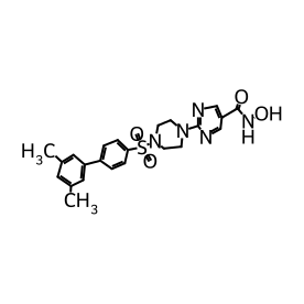 Cc1cc(C)cc(-c2ccc(S(=O)(=O)N3CCN(c4ncc(C(=O)NO)cn4)CC3)cc2)c1